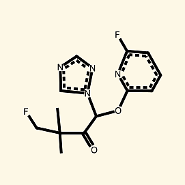 CC(C)(CF)C(=O)C(Oc1cccc(F)n1)n1cncn1